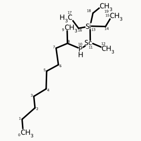 CCCCCCCCC(C)[PH][Sc]([CH3])[Si](CC)(CC)CC